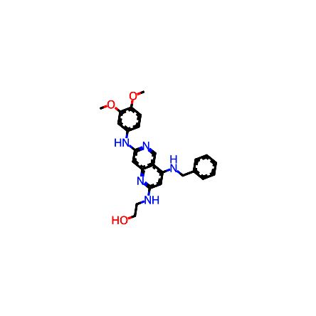 COc1ccc(Nc2cc3nc(NCCO)cc(NCc4ccccc4)c3cn2)cc1OC